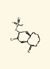 O=C1CCCCc2cc(OS(=O)(=O)F)c(Cl)cc21